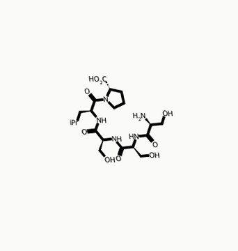 CC(C)C[C@H](NC(=O)[C@H](CO)NC(=O)[C@H](CO)NC(=O)[C@@H](N)CO)C(=O)N1CCC[C@H]1C(=O)O